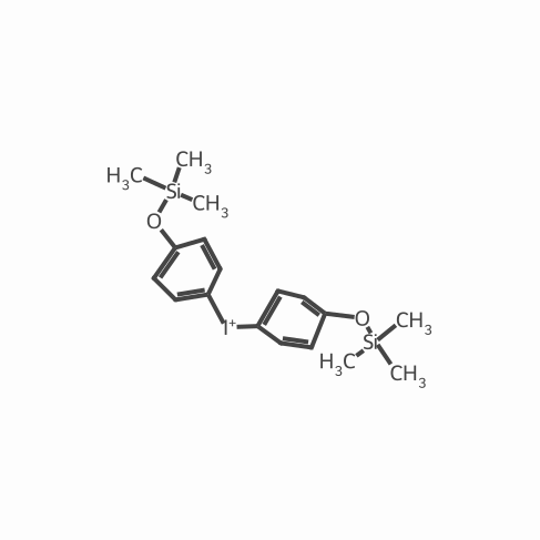 C[Si](C)(C)Oc1ccc([I+]c2ccc(O[Si](C)(C)C)cc2)cc1